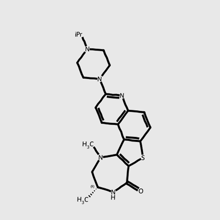 CC(C)N1CCN(c2ccc3c(ccc4sc5c(c43)N(C)C[C@@H](C)NC5=O)n2)CC1